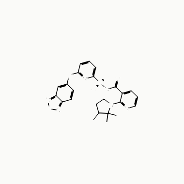 CC1CCN(c2ncccc2C(=O)NS(=O)(=O)c2cccc(Oc3ccc4nonc4c3)n2)C1(C)C